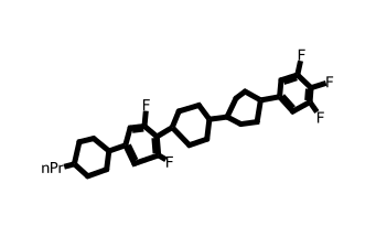 CCCC1CCC(c2cc(F)c(C3CCC(C4CCC(c5cc(F)c(F)c(F)c5)CC4)CC3)c(F)c2)CC1